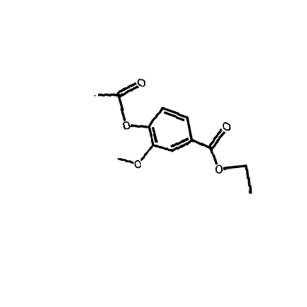 [CH2]C(=O)Oc1ccc(C(=O)OCC)cc1OC